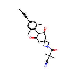 CC#Cc1cc(C)c(C2C(=O)CC3(CC2=O)CN(C(=O)C(C)(C)C#N)C3)c(C)c1